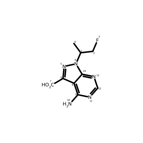 CC(CF)n1nc(C(=O)O)c2c(N)ncnc21